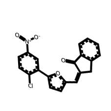 O=C1C(=Cc2ccc(-c3cc([N+](=O)[O-])ccc3Cl)o2)Cc2ccccc21